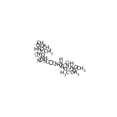 COC(=O)NC(C(=O)N1CCCC1c1ncc(N2Cc3cc4c(cc3C2)CN(c2cnc(C3CCCN3C(=O)[C@@H](NC(=O)OC)C(C)C)[nH]2)C4)[nH]1)C(C)C